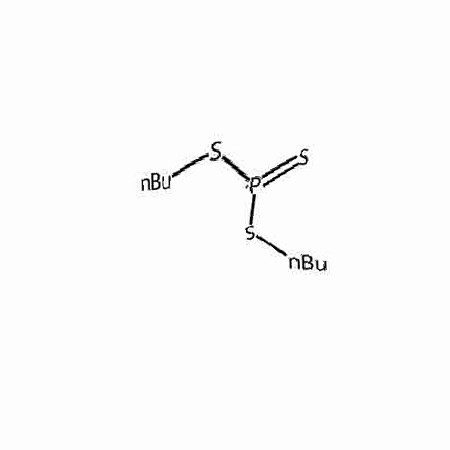 CCCCS[P](=S)SCCCC